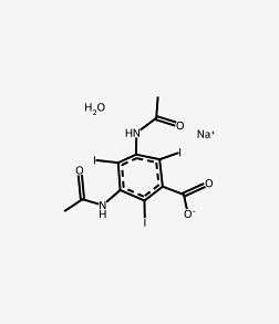 CC(=O)Nc1c(I)c(NC(C)=O)c(I)c(C(=O)[O-])c1I.O.[Na+]